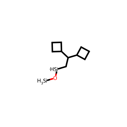 [SiH3]O[SiH]CC(C1CCC1)C1CCC1